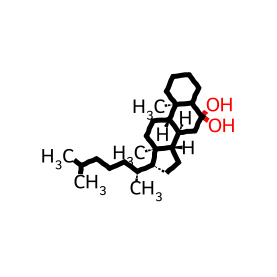 CC(C)CCC[C@@H](C)[C@H]1CC[C@H]2[C@@H]3CC(O)(O)C4CCCC[C@]4(C)[C@H]3CC[C@]12C